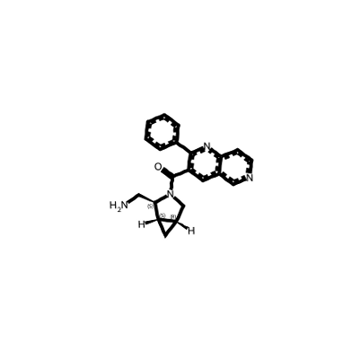 NC[C@@H]1[C@H]2C[C@H]2CN1C(=O)c1cc2cnccc2nc1-c1ccccc1